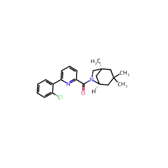 CC1(C)C[C@@H]2C[C@@](C)(CN2C(=O)c2cccc(-c3ccccc3Cl)n2)C1